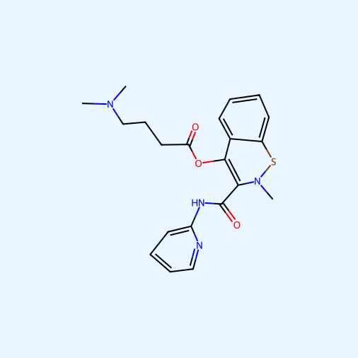 CN(C)CCCC(=O)OC1=C(C(=O)Nc2ccccn2)N(C)Sc2ccccc21